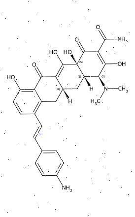 CN(C)[C@@H]1C(O)=C(C(N)=O)C(=O)[C@@]2(O)C(O)=C3C(=O)c4c(O)ccc(/C=C/c5ccc(N)cc5)c4C[C@H]3C[C@@H]12